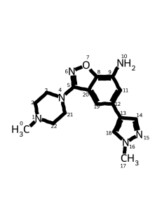 CN1CCN(c2noc3c(N)cc(-c4cnn(C)c4)cc23)CC1